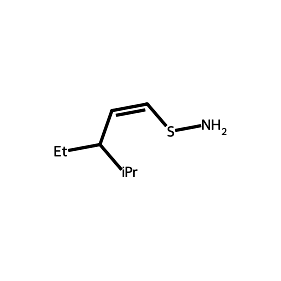 CCC(/C=C\SN)C(C)C